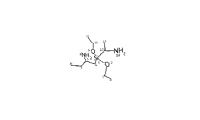 CCO[Si](CC(N)CC)(OCC)C(C)N